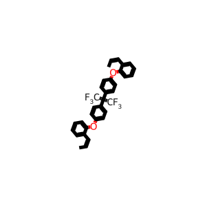 C/C=C\c1ccccc1Oc1ccc(C(c2ccc(Oc3ccccc3/C=C\C)cc2)(C(F)(F)F)C(F)(F)F)cc1